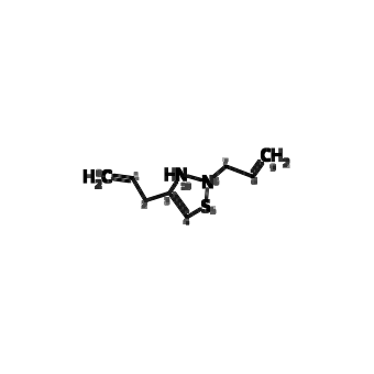 C=CCC1=CSN(CC=C)N1